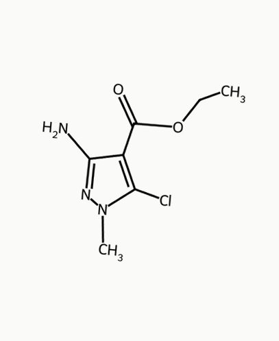 CCOC(=O)c1c(N)nn(C)c1Cl